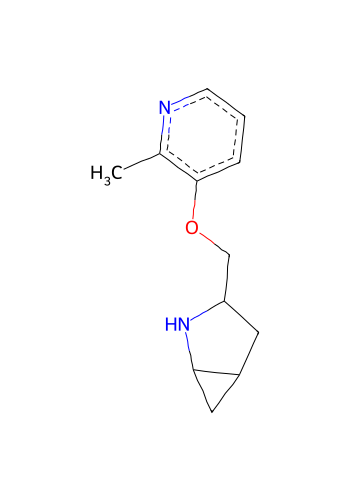 Cc1ncccc1OCC1CC2CC2N1